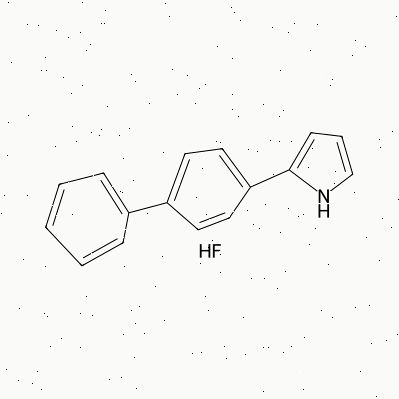 F.c1ccc(-c2ccc(-c3ccc[nH]3)cc2)cc1